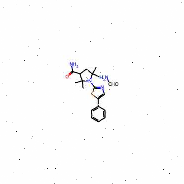 CC1(C)CC(C(N)=O)C(C)(C)N1c1ncc(-c2ccccc2)s1.NC=O